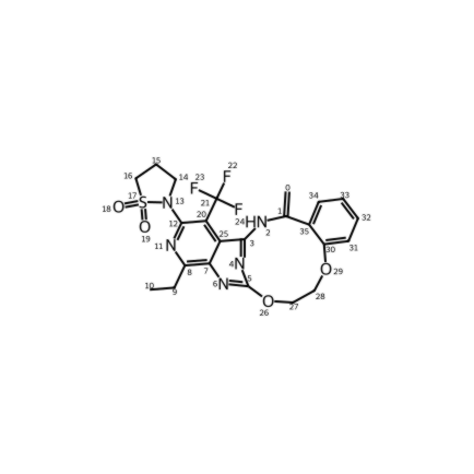 C=C1Nc2nc(nc3c(CC)nc(N4CCCS4(=O)=O)c(C(F)(F)F)c23)OCCOc2ccccc21